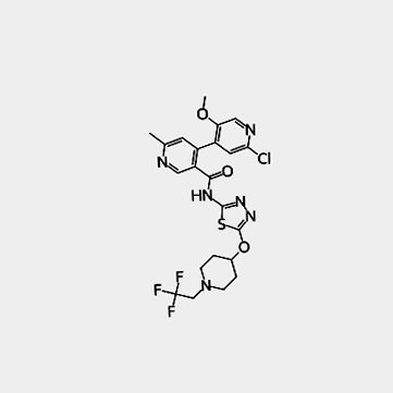 COc1cnc(Cl)cc1-c1cc(C)ncc1C(=O)Nc1nnc(OC2CCN(CC(F)(F)F)CC2)s1